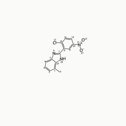 Cc1cccc2nc(-c3cc([N+](=O)[O-])ccc3Cl)[nH]c12